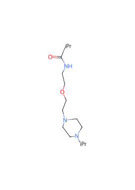 CC(C)C(=O)NCCOCCN1CCN(C(C)C)CC1